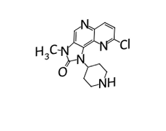 Cn1c(=O)n(C2CCNCC2)c2c3nc(Cl)ccc3ncc21